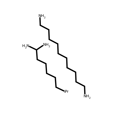 CC(C)CCCCCC(N)N.NCCCCCCCCCCN